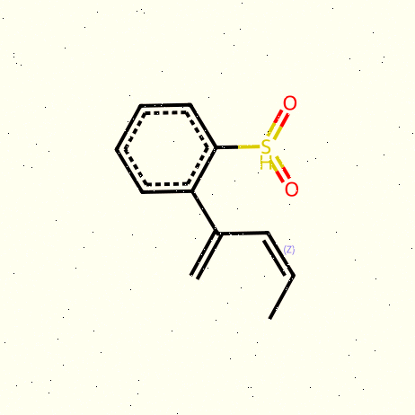 C=C(/C=C\C)c1ccccc1[SH](=O)=O